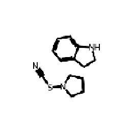 N#CSN1CCCC1.c1ccc2c(c1)CCN2